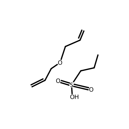 C=CCOCC=C.CCCS(=O)(=O)O